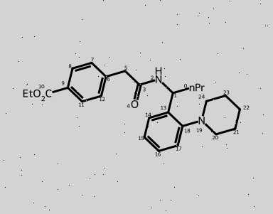 CCCC(NC(=O)Cc1ccc(C(=O)OCC)cc1)c1ccccc1N1CCCCC1